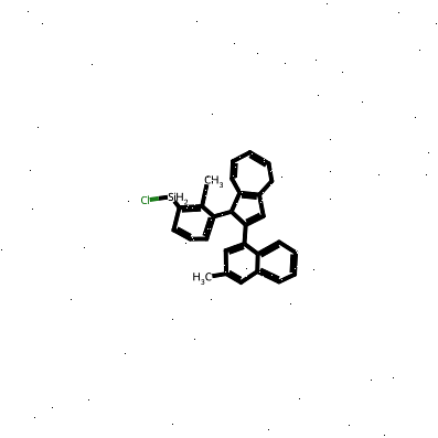 Cc1cc(C2=CC3=C(C=CC=CC3)C2c2cccc([SiH2]Cl)c2C)c2ccccc2c1